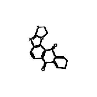 O=C1C2=CCCC=C2C(=O)c2c1ccc1nc3n(c21)CCS3